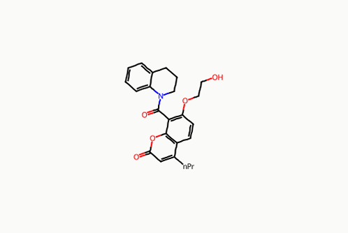 CCCc1cc(=O)oc2c(C(=O)N3CCCc4ccccc43)c(OCCO)ccc12